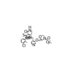 Cc1c(Cl)cccc1NC(=S)C1=C(NCc2ccncc2OC[C@@H]2CN(C(=O)OC(C)(C)C)CCO2)CCNC1=O